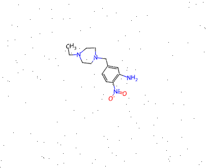 CCN1CCN(Cc2ccc([N+](=O)[O-])c(N)c2)CC1